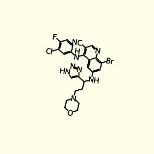 N#Cc1cnc2c(Br)cc(NC(CCN3CCOCC3)c3c[nH]nn3)cc2c1Nc1ccc(F)c(Cl)c1